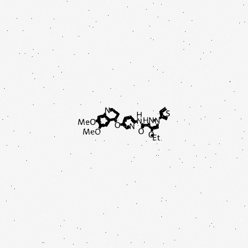 CCOC1=CN(c2ccsc2)NC1C(=O)Nc1ccc(OC2CC=Nc3cc(OC)c(OC)cc32)cn1